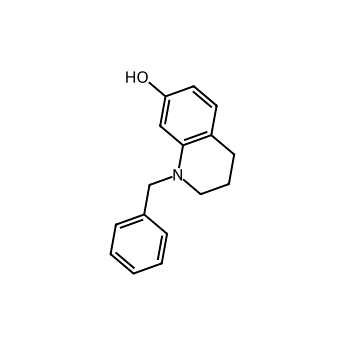 Oc1ccc2c(c1)N(Cc1ccccc1)CCC2